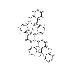 CC1(c2ccccc2)c2ccccc2Oc2ccc(-c3cccc4c3-c3ccccc3C43c4ccccc4-c4cc5ccccc5cc43)cc21